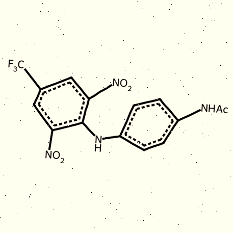 CC(=O)Nc1ccc(Nc2c([N+](=O)[O-])cc(C(F)(F)F)cc2[N+](=O)[O-])cc1